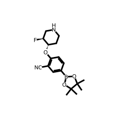 CC1(C)OB(c2ccc(O[C@H]3CCNC[C@@H]3F)c(C#N)c2)OC1(C)C